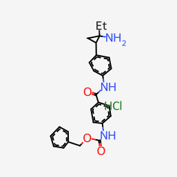 CCC1(N)CC1c1ccc(NC(=O)c2ccc(NC(=O)OCc3ccccc3)cc2)cc1.Cl